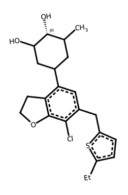 CCc1ccc(Cc2cc(C3CC(C)[C@@H](O)C(O)C3)c3c(c2Cl)OCC3)s1